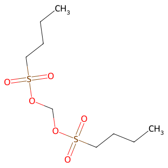 CCCCS(=O)(=O)OCOS(=O)(=O)CCCC